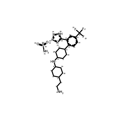 NCCC1CCC(NC2CCC(c3ccc(C(F)(F)F)cc3-c3nnn[nH]3)CC2)CC1.N[SH](=O)=O